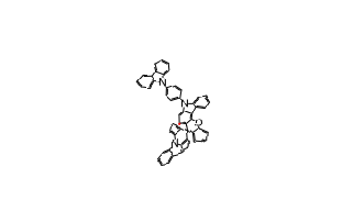 c1ccc2c(c1)Oc1c(ccc3c1c1ccccc1n3-c1ccc(-n3c4ccccc4c4ccccc43)cc1)C21c2ccccc2-n2c3ccccc3c3cccc1c32